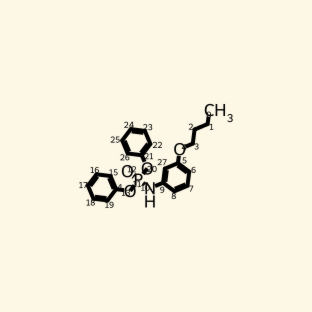 CCCCOc1cccc(NP(=O)(Oc2ccccc2)Oc2ccccc2)c1